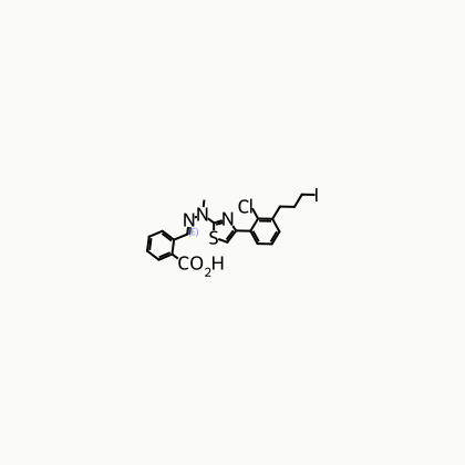 CN(/N=C/c1ccccc1C(=O)O)c1nc(-c2cccc(CCCI)c2Cl)cs1